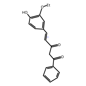 CCOc1cc(/C=C/C(=O)CC(=O)c2ccccc2)ccc1O